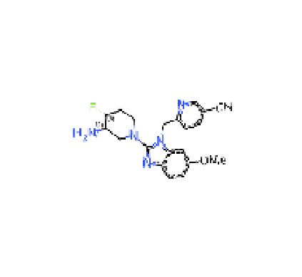 COc1ccc2nc(N3CC[C@@H](F)[C@H](N)C3)n(Cc3ccc(C#N)cn3)c2c1